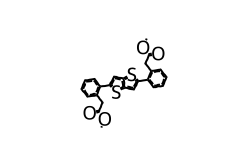 COC(=O)Cc1ccccc1-c1cc2sc(-c3ccccc3CC(=O)OC)cc2s1